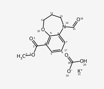 COC(=O)c1cccc2c1OCCCN2C=O.O=C([O-])O.[K+]